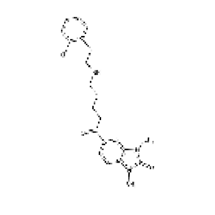 Cn1c(=O)n(C)c2cc(C(=O)CCCCNCCc3ccccc3Cl)ccc21